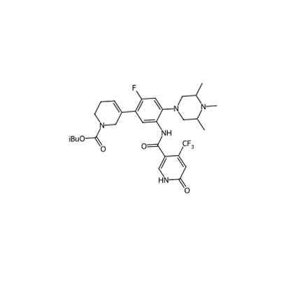 CC(C)COC(=O)N1CCC=C(c2cc(NC(=O)c3c[nH]c(=O)cc3C(F)(F)F)c(N3CC(C)N(C)C(C)C3)cc2F)C1